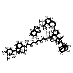 Cc1c(-c2ccc(N3CCc4cccc(C(=O)Nc5nc6ccccc6s5)c4C3)nc2C(=O)NCCCCCCCC(=O)Nc2cccc3c(C4CCC(=O)NC4=O)nn(C)c23)cnn1CC12CC3CC(CC(C3)C1)C2